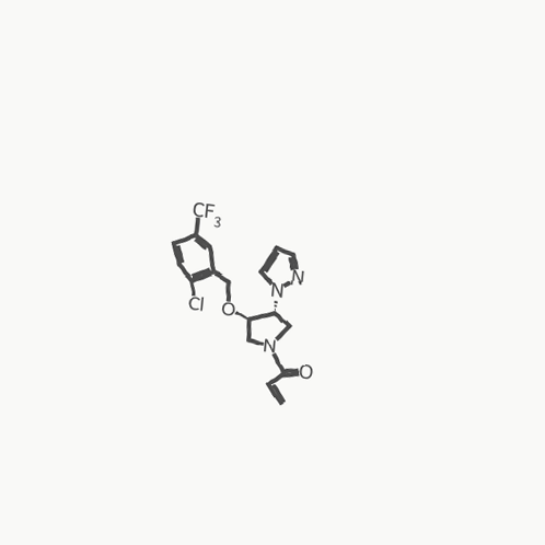 C=CC(=O)N1C[C@@H](n2cccn2)[C@H](OCc2cc(C(F)(F)F)ccc2Cl)C1